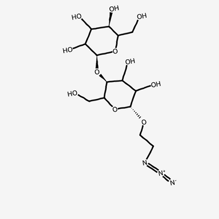 [N-]=[N+]=NCCO[C@@H]1OC(CO)[C@@H](O[C@@H]2OC(CO)[C@H](O)C(O)C2O)C(O)C1O